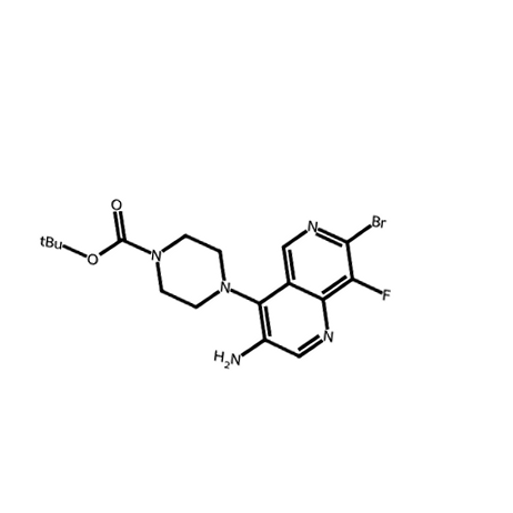 CC(C)(C)OC(=O)N1CCN(c2c(N)cnc3c(F)c(Br)ncc23)CC1